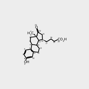 C[C@]12CCC3c4ccc(O)cc4CCC3C1[C@H](CCCC(=O)O)CC2=O